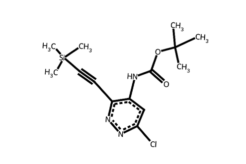 CC(C)(C)OC(=O)Nc1cc(Cl)nnc1C#C[Si](C)(C)C